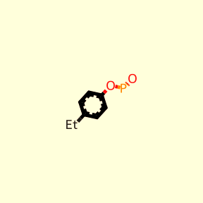 CCc1ccc(OP=O)cc1